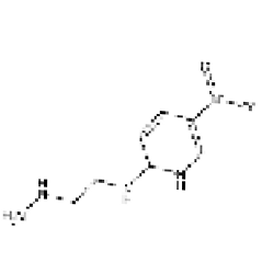 NNCCNC1C=CC([N+](=O)[O-])=CN1